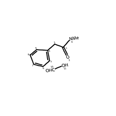 CNC(=O)Cc1ccccc1.O=CO